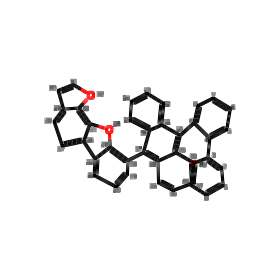 c1ccc(-c2ccccc2-c2c3ccccc3c(-c3cccc4c3oc3c4ccc4ccoc43)c3ccccc23)cc1